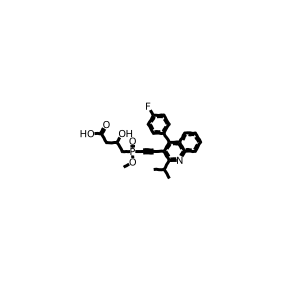 COP(=O)(C#Cc1c(C(C)C)nc2ccccc2c1-c1ccc(F)cc1)CC(O)CC(=O)O